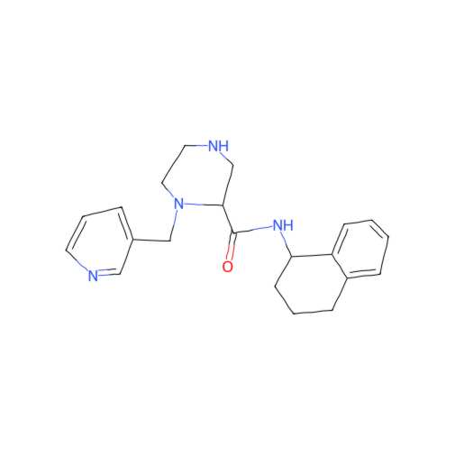 O=C(NC1CCCc2ccccc21)C1CNCCN1Cc1cccnc1